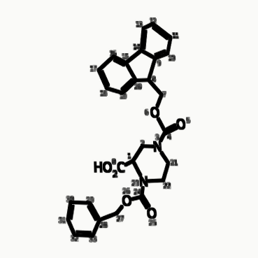 O=C(O)C1CN(C(=O)OCC2c3ccccc3-c3ccccc32)CCN1C(=O)OCc1ccccc1